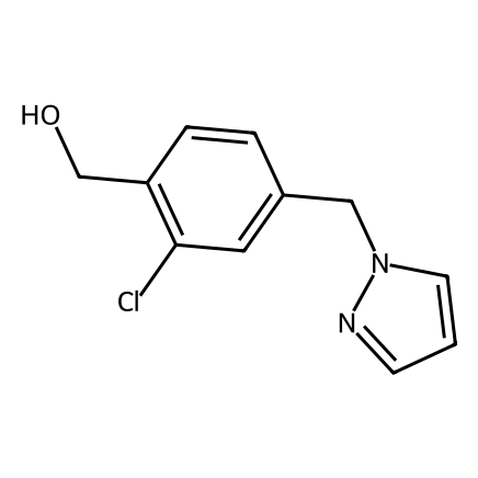 OCc1ccc(Cn2cccn2)cc1Cl